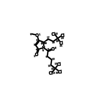 COC1=CC(=O)N(C(=O)CCCC(Cl)(Cl)Cl)[C@@H]1CCC(Cl)(Cl)Cl